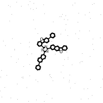 c1ccc(-c2ccc3cc(-c4nc(-c5ccc6cc7c(cc6c5)oc5ccccc57)nc(-c5cccc6oc7cc(-c8ccccc8)ccc7c56)n4)ccc3c2)cc1